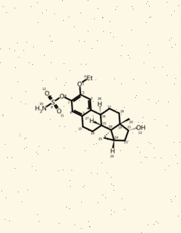 CCOc1cc2c(cc1OS(N)(=O)=O)CC[C@@H]1[C@@H]2CC[C@]2(C)[C@H](O)C[C@@H]3C[C@]312